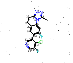 Cc1nnc2n1-c1cc(F)c(-c3cncc(F)c3Cl)cc1CC2